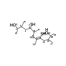 CC(O)C(C)CC(S)C(C)SC(C)C(S)CC(C)C(C)O